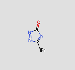 CC(C)C1=NC(=O)N=N1